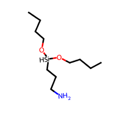 CCCCO[SiH](CCCN)OCCCC